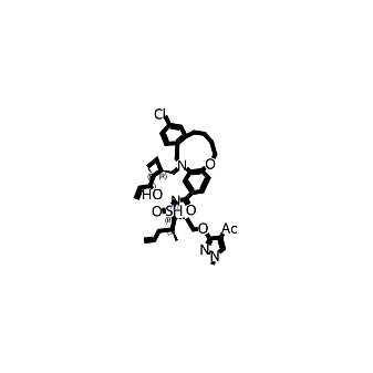 C=CC[C@H](C)[C@@H](CCOc1nn(C)cc1C(C)=O)/[SH](=O)=N\C(=O)c1ccc2c(c1)N(C[C@@H]1CC[C@H]1[C@@H](O)C=C)Cc1ccc(Cl)cc1CCCCO2